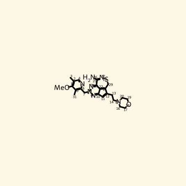 COc1c(C)cnc(Cn2nc3cc(CCN4CCOCC4)c4c-3c(n2)C(N)=NSC4)c1C